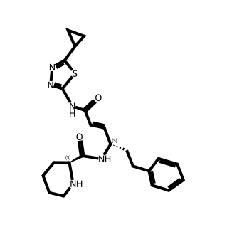 O=C(C=C[C@H](CCc1ccccc1)NC(=O)[C@@H]1CCCCN1)Nc1nnc(C2CC2)s1